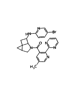 Cc1cnc(-c2ncccn2)c(C(=O)N2CC3CC34CC(Nc3ccc(Br)cn3)C24)c1